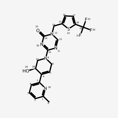 Cc1cccc(C2=CCN(c3ncn(Cc4ccc(C(F)(F)F)s4)c(=O)n3)C[C@@H]2O)n1